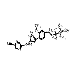 COc1cc(CCC(C)(C)[Si](C)(C)O)ccc1-c1cc(Nc2cnc(C#N)cn2)n[nH]1